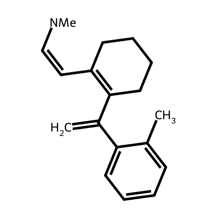 C=C(C1=C(/C=C\NC)CCCC1)c1ccccc1C